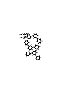 c1ccc(-c2cc(-c3ccccc3)cc(-c3ccc(-c4cccc(-c5cccc(-c6nc(-c7cccc(-c8ccccc8)c7)c7c(n6)sc6ccccc67)c5)c4)cc3)c2)cc1